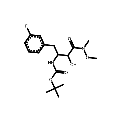 CON(C)C(=O)C(O)C(Cc1cccc(F)c1)NC(=O)OC(C)(C)C